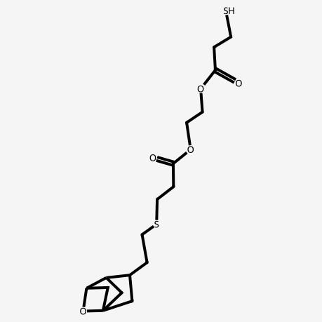 O=C(CCS)OCCOC(=O)CCSCCC1CC23CC(O2)C1C3